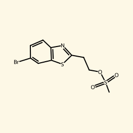 CS(=O)(=O)OCCc1nc2ccc(Br)cc2s1